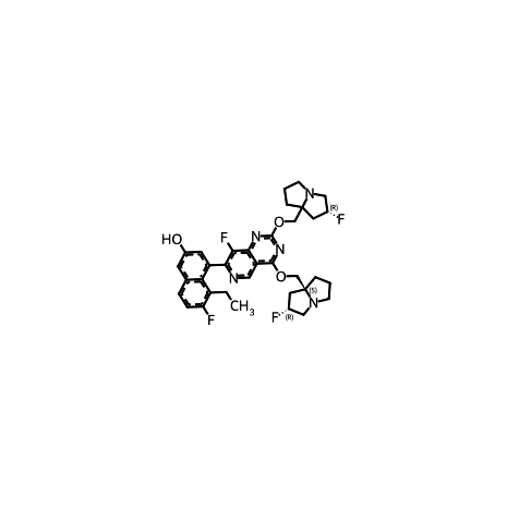 CCc1c(F)ccc2cc(O)cc(-c3ncc4c(OC[C@@]56CCCN5C[C@H](F)C6)nc(OCC56CCCN5C[C@H](F)C6)nc4c3F)c12